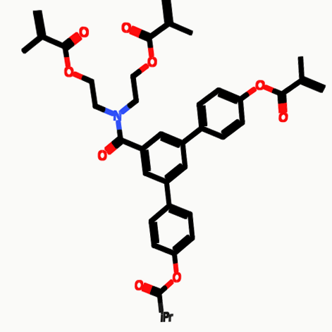 C=C(C)C(=O)OCCN(CCOC(=O)C(=C)C)C(=O)c1cc(-c2ccc(OC(=O)C(=C)C)cc2)cc(-c2ccc(OC(=O)C(C)C)cc2)c1